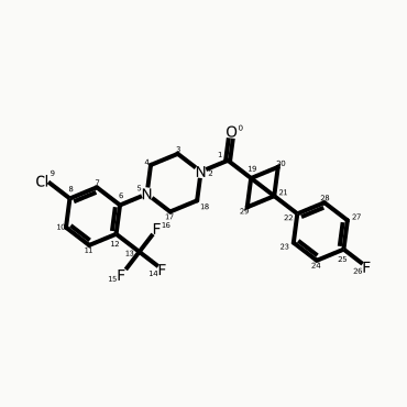 O=C(N1CCN(c2cc(Cl)ccc2C(F)(F)F)CC1)C12CC1(c1ccc(F)cc1)C2